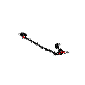 CN1C(=O)C[C@H](C(=O)NCCOCCOCCOCCOCCOCCOCCOCCOCCOCCOCCOCCOCCC(=O)N2CCN(c3cccc([C@H](CC(=O)O)CN4CC[C@@H](CCc5ccc6c(n5)NCCC6)C4)c3)CC2)[C@H]1c1cccnc1